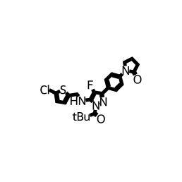 CC(C)(C)C(=O)n1nc(-c2ccc(N3CCCC3=O)cc2)c(F)c1NCc1ccc(Cl)s1